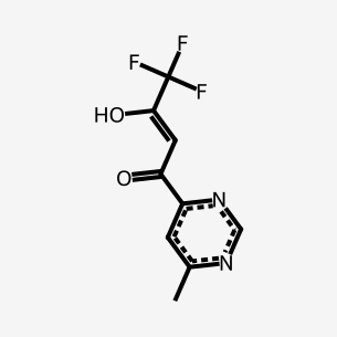 Cc1cc(C(=O)/C=C(\O)C(F)(F)F)ncn1